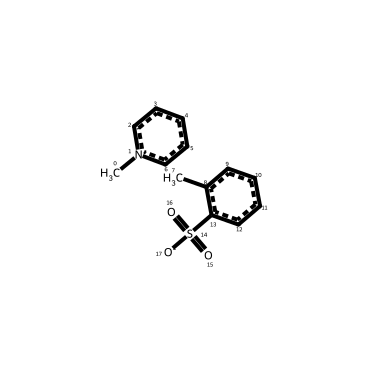 C[n+]1ccccc1.Cc1ccccc1S(=O)(=O)[O-]